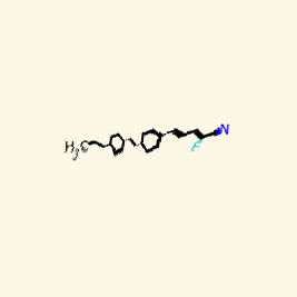 CCC[C@H]1CC[C@H](CC[C@H]2CC[C@H](C=CC=C(F)C#N)CC2)CC1